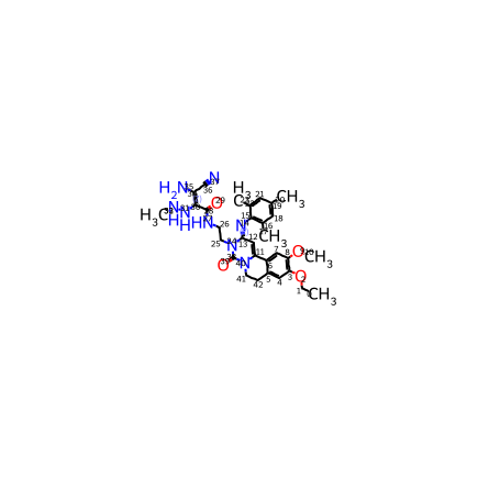 CCOc1cc2c(cc1OC)-c1c/c(=N\c3c(C)cc(C)cc3C)n(CCNC(=O)/C(NNC)=C(/N)C#N)c(=O)n1CC2